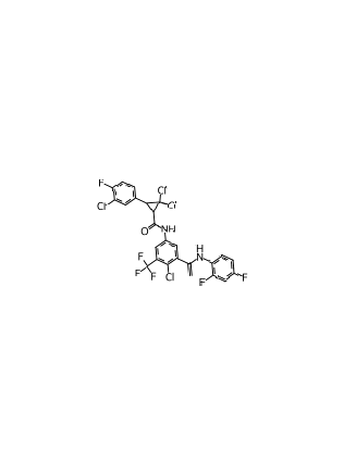 C=C(Nc1ccc(F)cc1F)c1cc(NC(=O)C2C(c3ccc(F)c(Cl)c3)C2(Cl)Cl)cc(C(F)(F)F)c1Cl